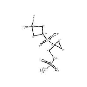 CS(=O)(=O)OCC1(S(=O)(=O)N2CC(F)(F)C2)CC1